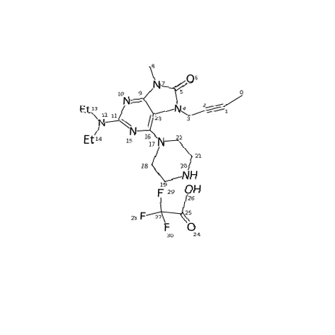 CC#CCn1c(=O)n(C)c2nc(N(CC)CC)nc(N3CCNCC3)c21.O=C(O)C(F)(F)F